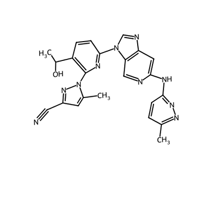 Cc1ccc(Nc2cc3ncn(-c4ccc(C(C)O)c(-n5nc(C#N)cc5C)n4)c3cn2)nn1